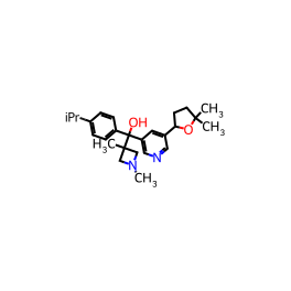 CC(C)c1ccc(C(O)(c2cncc(C3CCC(C)(C)O3)c2)C2(C)CN(C)C2)cc1